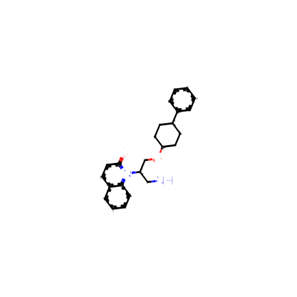 NCC(COC1CCC(c2ccccc2)CC1)n1c(=O)ccc2ccccc21